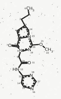 CCCc1cc2c(=O)n(CC(=O)Nc3ccncn3)nc(OC)n2c1